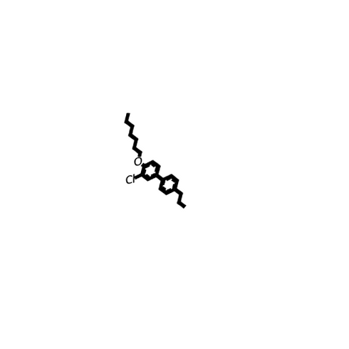 CCCCCCCOc1ccc(-c2ccc(CCC)cc2)cc1Cl